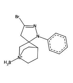 B[N+]12CCC(CC1)C1(CC(Br)=NN1c1ccccc1)C2